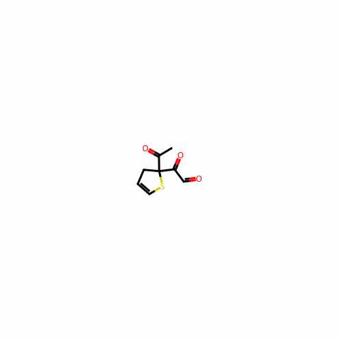 CC(=O)C1(C(=O)C=O)CC=CS1